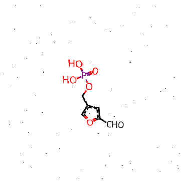 O=Cc1cc(COP(=O)(O)O)co1